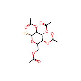 CC(=O)OCC1OC(S)C(OC(C)=O)[C@H](OC(C)=O)[C@H]1OC(C)=O